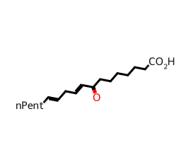 CCCCCC=CCC=CC(=O)CCCCCCC(=O)O